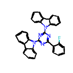 Fc1ccccc1-c1nc(-n2c3ccccc3c3ccccc32)nc(-n2c3ccccc3c3ccccc32)n1